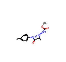 Cc1ccc(NC(=O)C(C)NNC(=O)OC(C)(C)C)cc1